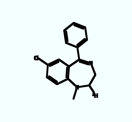 [2H]C1CN=C(c2ccccc2)c2cc(Cl)ccc2N1C